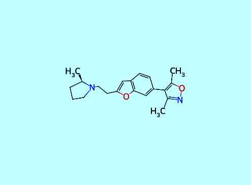 Cc1noc(C)c1-c1ccc2cc(CCN3CCC[C@H]3C)oc2c1